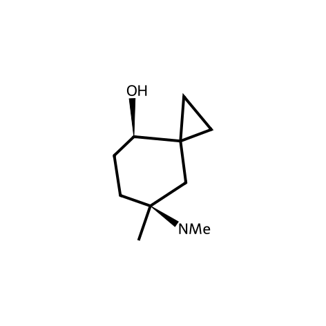 CN[C@@]1(C)CC[C@@H](O)C2(CC2)C1